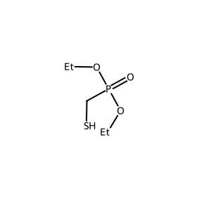 CCOP(=O)(CS)OCC